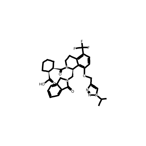 CC(C)n1cc(COc2ccc(C(F)(F)F)c3c2[C@@H](CN2Cc4ccccc4C2=O)N(C(=O)[C@@H]2CCCC[C@@H]2C(=O)O)CC3)nn1